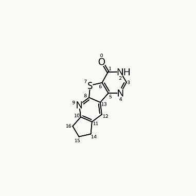 O=c1[nH]cnc2c1sc1nc3c(cc12)CCC3